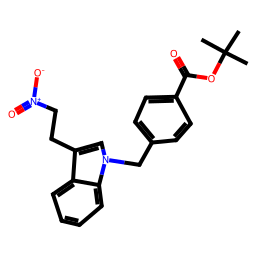 CC(C)(C)OC(=O)c1ccc(Cn2cc(CC[N+](=O)[O-])c3ccccc32)cc1